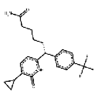 CC(F)(F)c1ccc([C@@H](CCCCC(N)=O)c2ccc(C3CC3)c(=O)[nH]2)cc1